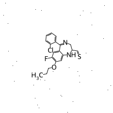 CCCOc1cc2c(cc1F)C(c1ccccc1Cl)=NCC(C=S)N2